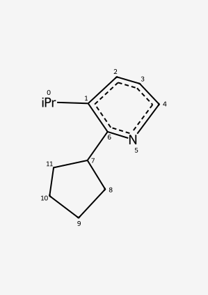 CC(C)c1cccnc1C1CCCC1